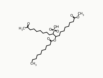 CCCCCCCCCC(=O)OC(CCCCCCCC(=O)OC)C(CCCCCCCC(C)=O)S(=O)(=O)O